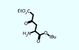 CCOC(=O)CC(=O)CC(N)C(=O)OC(C)(C)C